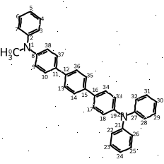 CN(c1ccccc1)c1ccc(-c2ccc(-c3ccc(N(c4ccccc4)c4ccccc4)cc3)cc2)cc1